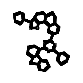 c1ccc(-c2nc(-c3ccc4ccc5ccc6c(-c7ccccc7)noc6c5c4c3)nc(-c3cccc4oc5ccccc5c34)n2)cc1